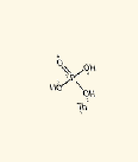 O=P(O)(O)O.[Th]